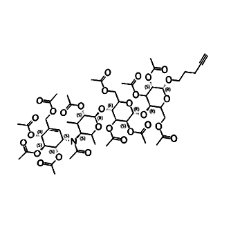 C#CCCCO[C@@H]1OC(COC(C)=O)[C@@H](O[C@H]2OC(COC(C)=O)[C@@H](O[C@H]3OC(C)[C@@H](N(C(C)=O)[C@H]4C=C(COC(C)=O)[C@@H](OC(C)=O)[C@H](OC(C)=O)[C@H]4OC(C)=O)C(C)[C@@H]3OC(C)=O)C(OC(C)=O)[C@@H]2OC(C)=O)C(OC(C)=O)[C@@H]1OC(C)=O